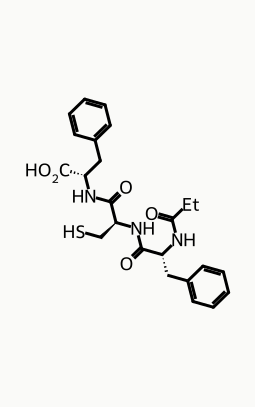 CCC(=O)N[C@H](Cc1ccccc1)C(=O)N[C@@H](CS)C(=O)N[C@@H](Cc1ccccc1)C(=O)O